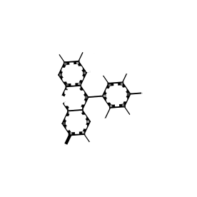 O=C(O)c1cc2c(-c3c(Cl)c(Cl)c(Cl)c(Cl)c3C(=O)O)c3cc(C(=O)O)c(=O)cc-3oc2cc1O